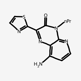 CCCn1c(=O)c(-c2nccs2)nc2c(N)ccnc21